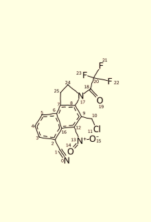 N#Cc1cccc2c3c(c(CCl)c([N+](=O)[O-])c12)N(C(=O)C(F)(F)F)CC3